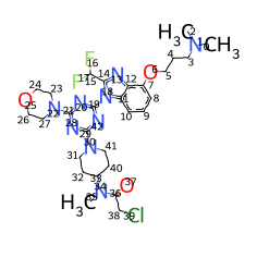 CN(C)CCCOc1cccc2c1nc(C(F)F)n2-c1nc(N2CCOCC2)nc(N2CCC(N(C)C(=O)CCl)CC2)n1